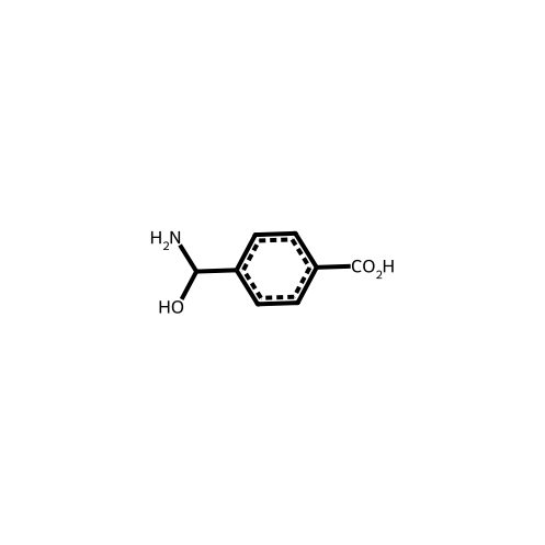 NC(O)c1ccc(C(=O)O)cc1